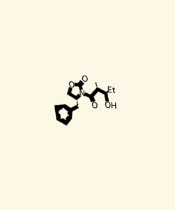 CC[C@H](O)[C@@H](C)C(=O)N1C(=O)OC[C@H]1Cc1ccccc1